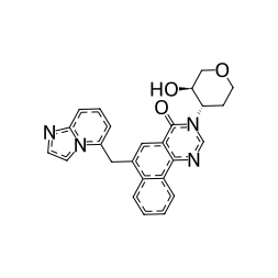 O=c1c2cc(Cc3cccc4nccn34)c3ccccc3c2ncn1[C@H]1CCOC[C@@H]1O